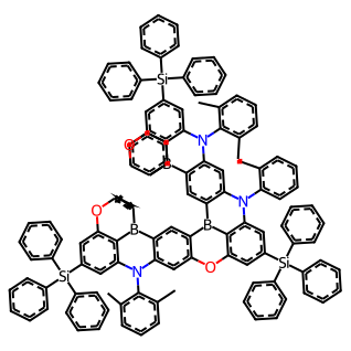 Cc1ccccc1N1c2cc3c(cc2B2c4cc5c(cc4Oc4cc([Si](c6ccccc6)(c6ccccc6)c6ccccc6)cc1c42)N(c1c(C)cccc1C)c1cc([Si](c2ccccc2)(c2ccccc2)c2ccccc2)cc2c1B5c1ccccc1O2)B1c2ccccc2Oc2cc([Si](c4ccccc4)(c4ccccc4)c4ccccc4)cc(c21)N3c1c(C)cccc1C